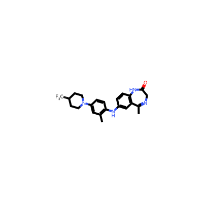 CC1=NCC(=O)Nc2ccc(Nc3ccc(N4CCC(C(F)(F)F)CC4)cc3C)cc21